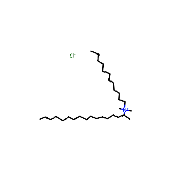 CCCCCCCCCCCCCCCC(C)[N+](C)(C)CCCCCCCCCCCC.[Cl-]